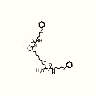 NC(=NC(=O)NCCCSc1ccccc1)NCCCCCCNC(N)=NC(=O)NCCCSc1ccccc1